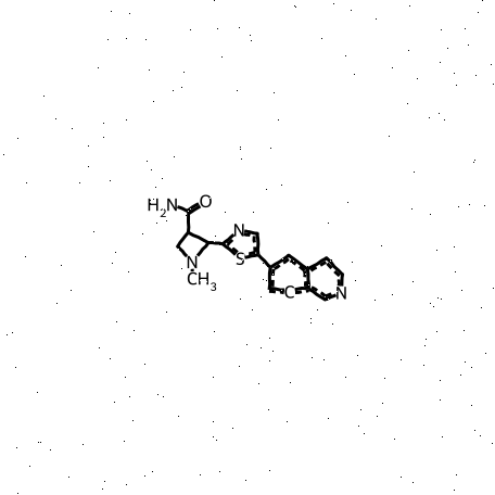 CN1CC(C(N)=O)C1c1ncc(-c2ccc3cnccc3c2)s1